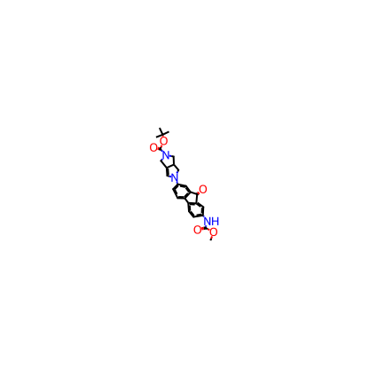 COC(=O)Nc1ccc2c(c1)C(=O)c1cc(N3C=C4CN(C(=O)OC(C)(C)C)CC4C3)ccc1-2